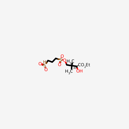 CCOC(=O)[C@H](O)C(C)(C)COS(=O)(=O)CCC[SH](=O)=O